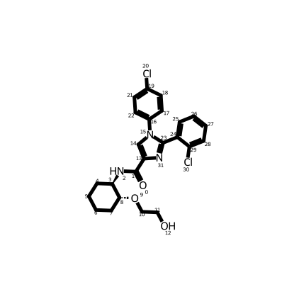 O=C(N[C@@H]1CCCC[C@H]1OCCO)c1cn(-c2ccc(Cl)cc2)c(-c2ccccc2Cl)n1